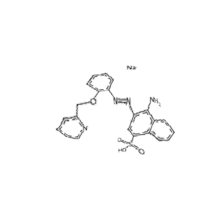 Nc1c(N=Nc2ccccc2OCc2ccccn2)cc(S(=O)(=O)O)c2ccccc12.[Na]